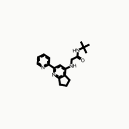 CC(C)(C)NC(=O)CNc1cc(-c2ccccn2)nc2c1CCC2